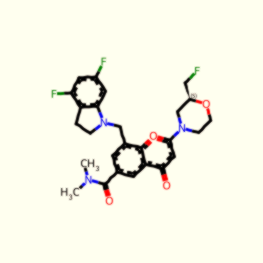 CN(C)C(=O)c1cc(CN2CCc3c(F)cc(F)cc32)c2oc(N3CCO[C@H](CF)C3)cc(=O)c2c1